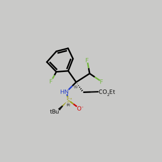 CCOC(=O)C[C@](N[S@@+]([O-])C(C)(C)C)(c1ccccc1F)C(F)F